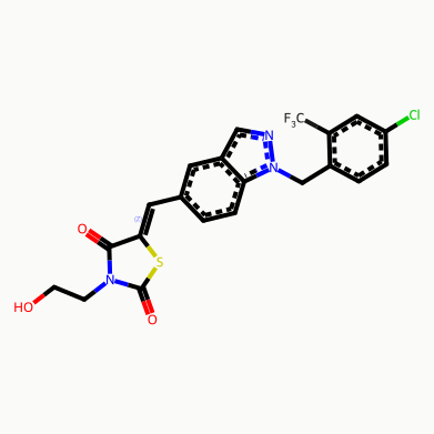 O=C1S/C(=C\c2ccc3c(cnn3Cc3ccc(Cl)cc3C(F)(F)F)c2)C(=O)N1CCO